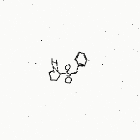 O=S(=O)(Cc1c[c]ccc1)C1CCCN1